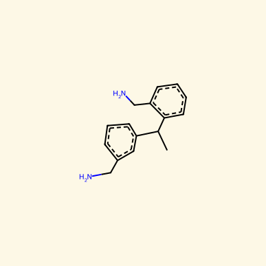 CC(c1cccc(CN)c1)c1ccccc1CN